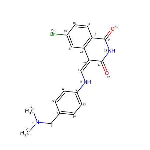 CN(C)Cc1ccc(N/C=C2\C(=O)NC(=O)c3ccc(Br)cc32)cc1